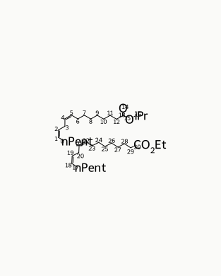 CCCCC/C=C\C/C=C\CCCCCCCC(=O)OC(C)C.CCCCC/C=C\C/C=C\CCCCCCCC(=O)OCC